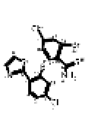 Clc1ccc(-c2nccs2)c(Br)c1.NC(=S)c1ccc(Cl)cc1Br